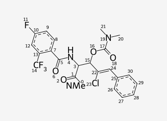 CNC(=O)C(NC(=O)c1ccc(F)cc1C(F)(F)F)C(OC(=O)N(C)C)/C(Cl)=C/c1ccccc1